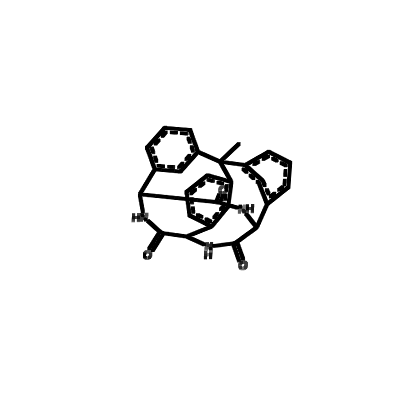 CC12c3cccc(c3)C3NC(=O)C(NC(=O)C(NC3=O)c3cccc1c3)c1cccc2c1